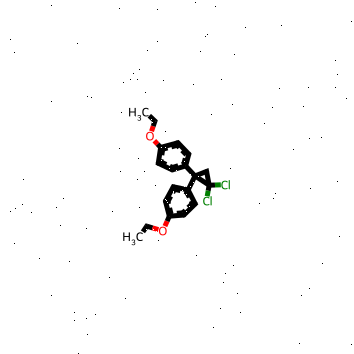 CCOc1ccc(C2(c3ccc(OCC)cc3)CC2(Cl)Cl)cc1